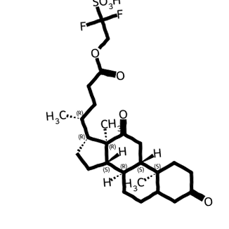 C[C@H](CCC(=O)OCC(F)(F)S(=O)(=O)O)[C@H]1CC[C@H]2[C@@H]3CCC4CC(=O)CC[C@]4(C)[C@H]3CC(=O)[C@]12C